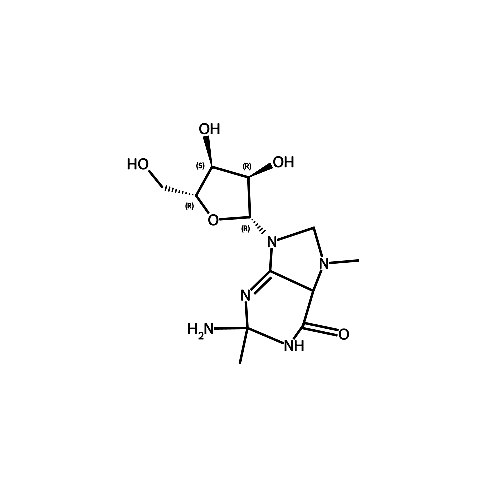 CN1CN([C@@H]2O[C@H](CO)[C@@H](O)[C@H]2O)C2=NC(C)(N)NC(=O)C21